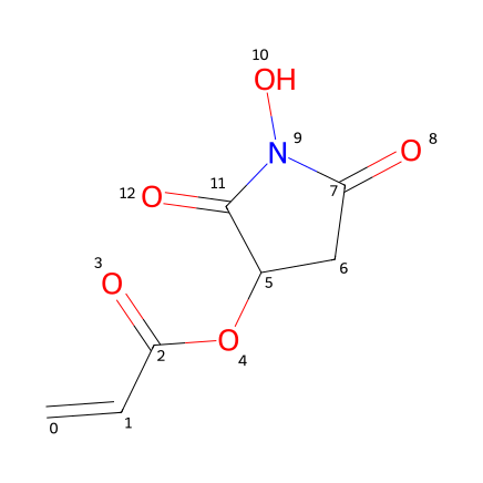 C=CC(=O)OC1CC(=O)N(O)C1=O